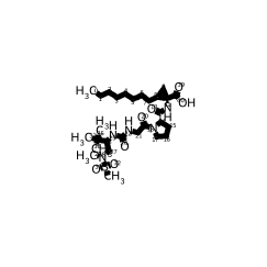 CCCCCCCCC1C[C@]1(NC(=O)[C@@H]1CCCN1C(=O)CNC(=O)NC(CN(C)S(C)(=O)=O)C(C)(C)C)C(=O)O